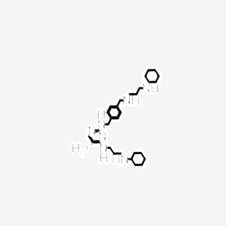 Cc1cnc(NCc2ccc(CNCCCNC3CCCCC3)cc2)nc1NCCCNC1CCCCC1